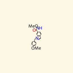 CONC(=O)c1ccc2ccn(Cc3ccc(OC)cc3)c2c1